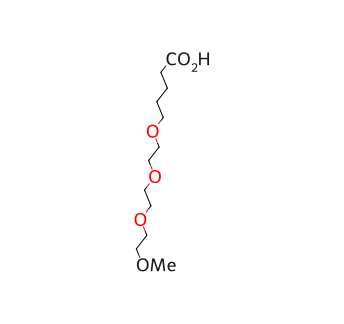 COCCOCCOCCOCCCCC(=O)O